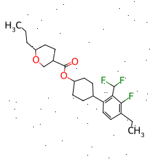 CCCC1CCC(C(=O)OC2CCC(c3ccc(CC)c(F)c3C(F)F)CC2)CO1